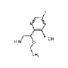 CCOC(CN)c1ncc(F)cc1F.Cl